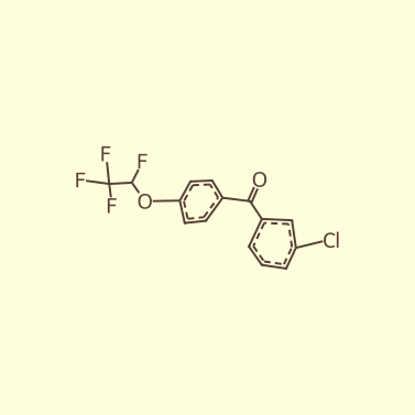 O=C(c1ccc(OC(F)C(F)(F)F)cc1)c1cccc(Cl)c1